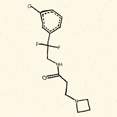 O=C(CCN1CCC1)NCC(F)(F)c1cccc(Cl)c1